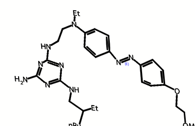 CCCCC(CC)CNc1nc(N)nc(NCCN(CC)c2ccc(/N=N/c3ccc(OCCOC)cc3)cc2)n1